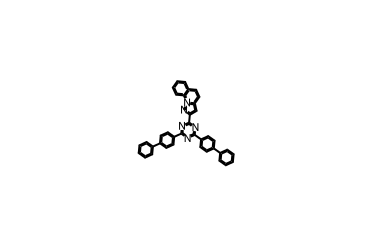 c1ccc(-c2ccc(-c3nc(-c4ccc(-c5ccccc5)cc4)nc(-c4cc5ccc6ccccc6n5n4)n3)cc2)cc1